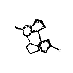 Cc1cc(N2CCCC2)c2c(-c3cccc(Cl)c3)cccc2n1